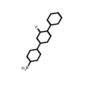 BC1CCC(C2CCC(C3CCCCC3)C(F)C2)CC1